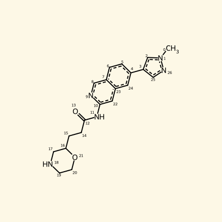 Cn1cc(-c2ccc3cnc(NC(=O)CCC4CNCCO4)cc3c2)cn1